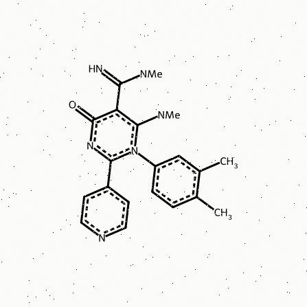 CNC(=N)c1c(NC)n(-c2ccc(C)c(C)c2)c(-c2ccncc2)nc1=O